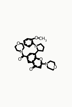 COc1ccccc1N1CCCC1c1cc(C(=O)N2CCOCC2)cc2c(=O)cc(N3CCOCC3)oc12